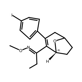 CCC(=NOC)C1=C(c2ccc(I)cc2)CC2CC[C@H]1O2